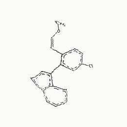 CO/C=C\c1ccc(Cl)cc1-c1cccc2ccccc12